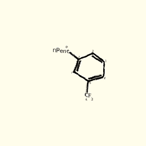 CCCCCc1[c]ccc(C(F)(F)F)c1